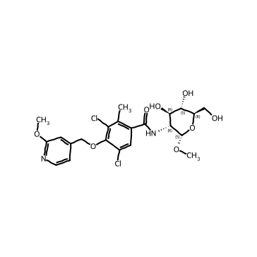 COc1cc(COc2c(Cl)cc(C(=O)N[C@H]3[C@@H](OC)O[C@H](CO)[C@@H](O)[C@@H]3O)c(C)c2Cl)ccn1